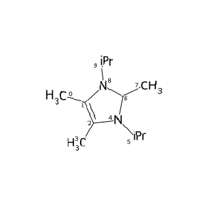 CC1=C(C)N(C(C)C)C(C)N1C(C)C